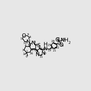 CC1(C)CCc2c(N3CCOCC3)nc3sc4c(NCc5ccc(S(N)(=O)=O)cc5)ncnc4c3c2C1